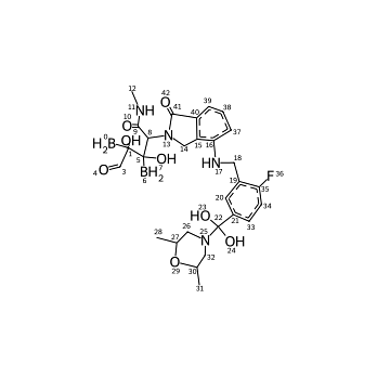 BC(O)(C=O)C(B)(O)C(C(=O)NC)N1Cc2c(NCc3cc(C(O)(O)N4CC(C)OC(C)C4)ccc3F)cccc2C1=O